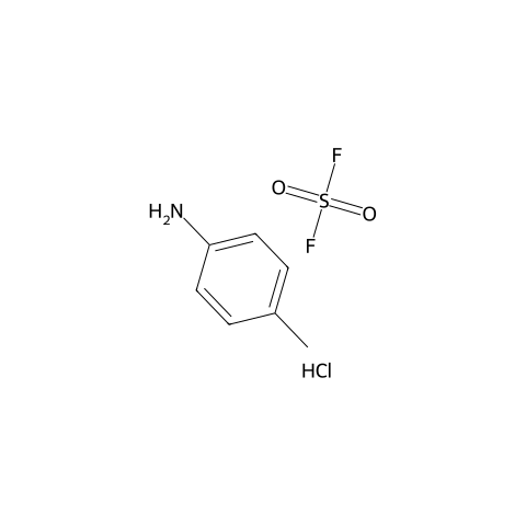 Cc1ccc(N)cc1.Cl.O=S(=O)(F)F